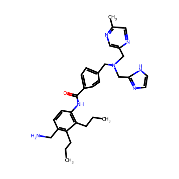 CCCc1c(CN)ccc(NC(=O)c2ccc(CN(Cc3cnc(C)cn3)Cc3ncc[nH]3)cc2)c1CCC